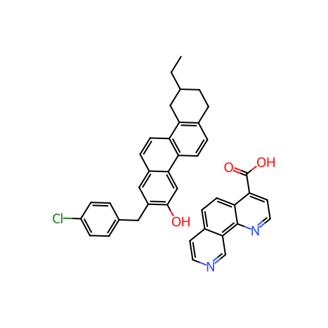 CCC1CCc2ccc3c(ccc4cc(Cc5ccc(Cl)cc5)c(O)cc43)c2C1.O=C(O)c1ccnc2c1ccc1ccncc12